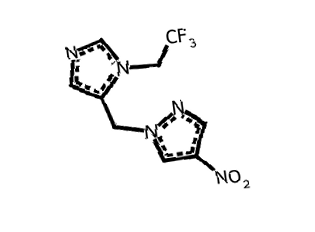 O=[N+]([O-])c1cnn(Cc2cncn2CC(F)(F)F)c1